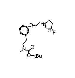 CN(CCc1cccc(OCCN2CC[C@@H](F)C2)c1)C(=O)OC(C)(C)C